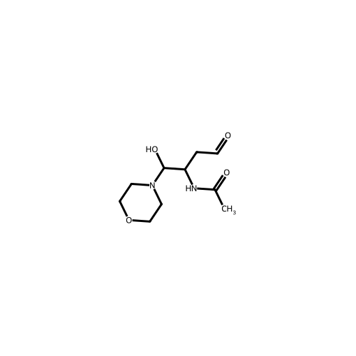 CC(=O)NC(CC=O)C(O)N1CCOCC1